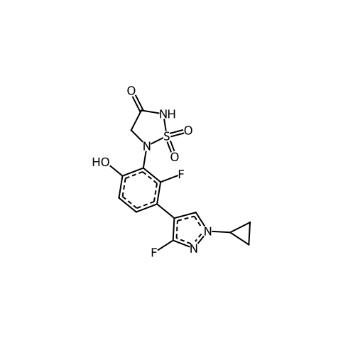 O=C1CN(c2c(O)ccc(-c3cn(C4CC4)nc3F)c2F)S(=O)(=O)N1